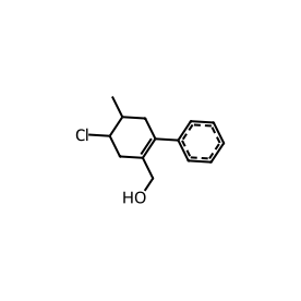 CC1CC(c2ccccc2)=C(CO)CC1Cl